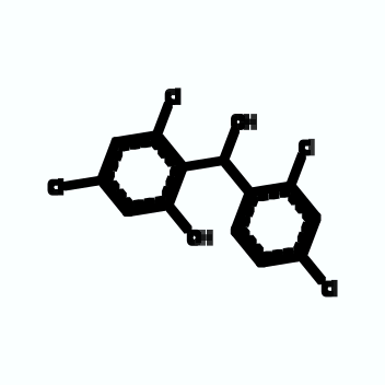 Oc1cc(Cl)cc(Cl)c1C(O)c1ccc(Cl)cc1Cl